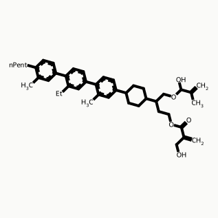 C=C(CO)C(=O)OCCC(COC(O)C(=C)C)C1CCC(c2ccc(-c3ccc(-c4ccc(CCCCC)c(C)c4)c(CC)c3)c(C)c2)CC1